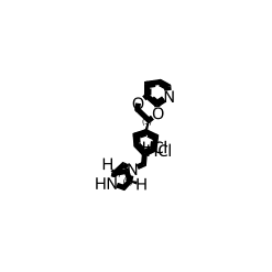 Cl.Cl.c1cnc2c(c1)OC[C@H](c1ccc(CN3C[C@@H]4C[C@H]3CN4)cc1)O2